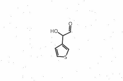 O=[C]C(O)c1ccsc1